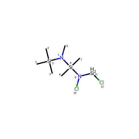 CN([Si](C)(C)C)[Si](C)(C)N(Cl)[SiH2]Cl